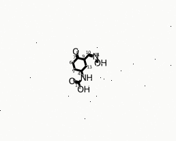 O=C(O)NC1CCC(=O)C(/C=N\O)C1